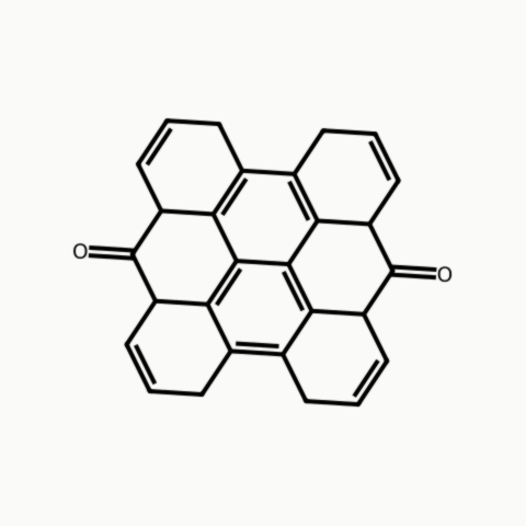 O=C1C2C=CCc3c4c5c6c7c(c8c(c6c32)C1C=CC8)CC=CC7C(=O)C5C=CC4